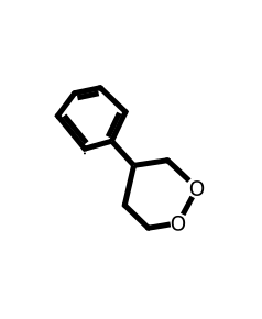 [c]1ccccc1C1CCOOC1